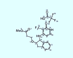 COC(=O)CCOC1Cc2ccccc2C1Nc1cn[nH]c(=O)c1C(F)(F)F.O=C(O)C(F)(F)F